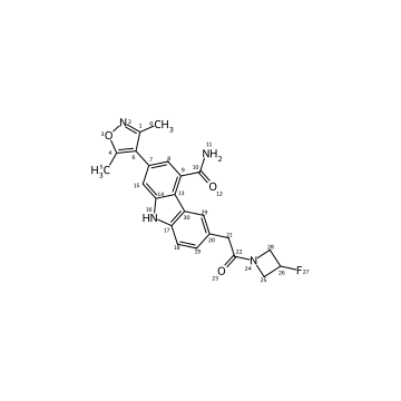 Cc1noc(C)c1-c1cc(C(N)=O)c2c(c1)[nH]c1ccc(CC(=O)N3CC(F)C3)cc12